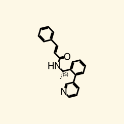 C[C@H](NC(=O)C=Cc1ccccc1)c1ccccc1-c1cccnc1